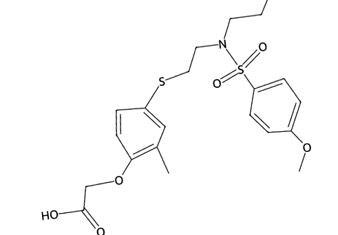 CCCN(CCSc1ccc(OCC(=O)O)c(C)c1)S(=O)(=O)c1ccc(OC)cc1